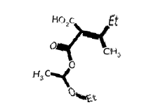 CCOC(C)OC(=O)C(C(=O)O)=C(C)CC